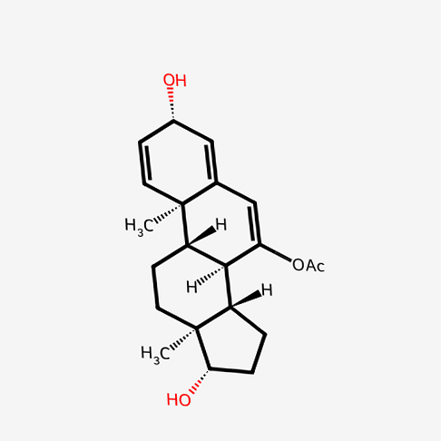 CC(=O)OC1=CC2=C[C@@H](O)C=C[C@]2(C)[C@H]2CC[C@]3(C)[C@@H](O)CC[C@H]3[C@H]12